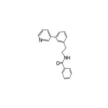 O=C(NCCc1cccc(-c2cccnc2)c1)c1ccccc1